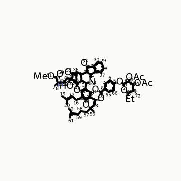 CC[C@H]1O[C@@H](Oc2ccc(C(=O)Oc3c4c(c(CC=C(C)C)c5c3C3N=C6c7ccccc7C(=O)C6C6C7CC(C(C)C)C(O5)(C36)C(O)(C/C=C(/C)C(=O)OC)C7=O)OC(C)(CCC=C(C)C)C=C4)cc2)[C@H](OC(C)=O)[C@@H](OC(C)=O)[C@@H]1C